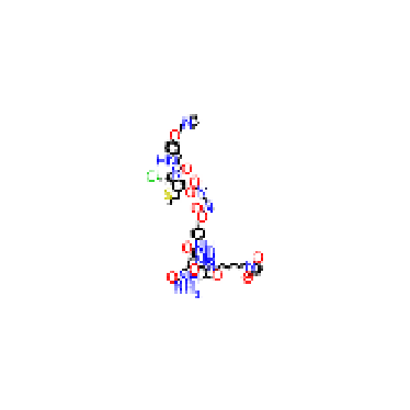 Cc1cc2c(OC(=O)N(C)CCN(C)C(=O)OCc3ccc(NC(=O)[C@H](CCCNC(N)=O)NC(=O)[C@@H](NC(=O)CCCCCN4C(=O)C=CC4=O)C(C)C)cc3)cc3c(c2s1)[C@H](CCl)CN3C(=O)c1cc2cc(OCCN3CCCC3)ccc2[nH]1